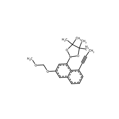 CC#Cc1cccc2cc(OCOC)cc(N3OC(C)(C)C(C)(C)O3)c12